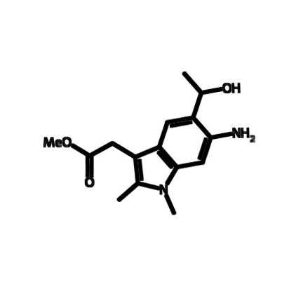 COC(=O)Cc1c(C)n(C)c2cc(N)c(C(C)O)cc12